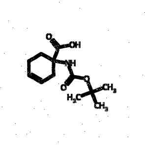 CC(C)(C)OC(=O)NC1(C(=O)O)CC=CCC1